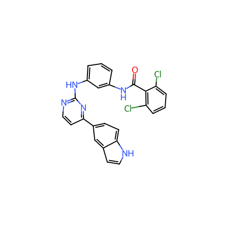 O=C(Nc1cccc(Nc2nccc(-c3ccc4[nH]ccc4c3)n2)c1)c1c(Cl)cccc1Cl